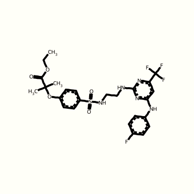 CCOC(=O)C(C)(C)Oc1ccc(S(=O)(=O)NCCNc2nc(Nc3ccc(F)cc3)cc(C(F)(F)F)n2)cc1